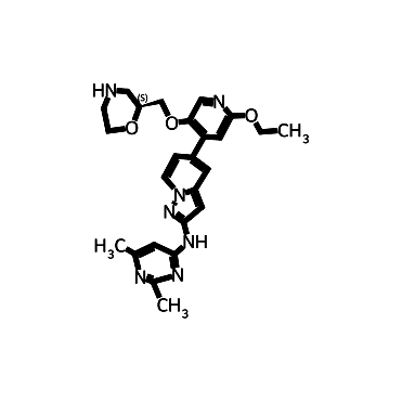 CCOc1cc(-c2ccn3nc(Nc4cc(C)nc(C)n4)cc3c2)c(OC[C@@H]2CNCCO2)cn1